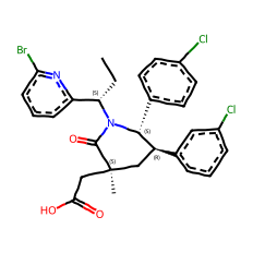 CC[C@@H](c1cccc(Br)n1)N1C(=O)[C@](C)(CC(=O)O)C[C@H](c2cccc(Cl)c2)[C@H]1c1ccc(Cl)cc1